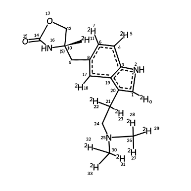 [2H]c1[nH]c2c([2H])c([2H])c(C[C@@]3([2H])COC(=O)N3)c([2H])c2c1C([2H])([2H])CN(C([2H])([2H])[2H])C([2H])([2H])[2H]